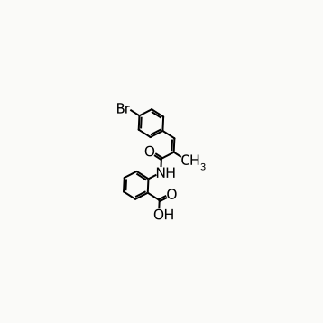 CC(=Cc1ccc(Br)cc1)C(=O)Nc1ccccc1C(=O)O